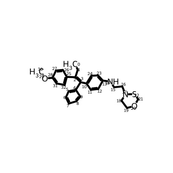 CCC(=C(c1ccccc1)c1ccc(NCCN2CCOCS2)cc1)c1ccc(OC)cc1